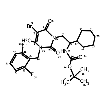 Cc1c(Br)c(=O)n(CC(NC(=O)OC(C)(C)C)C2CCCCC2)c(=O)n1Cc1c(F)cccc1F